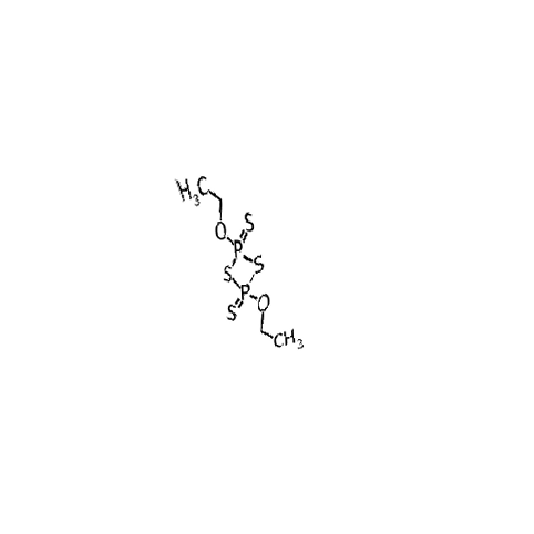 CCOP1(=S)SP(=S)(OCC)S1